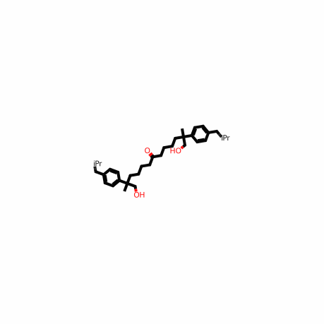 CC(C)Cc1ccc(C(C)(CO)CCCCC(=O)CCCCC(C)(CO)c2ccc(CC(C)C)cc2)cc1